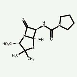 CC1(C)S[C@@H]2[C@H](NC(=O)N3CCCC3)C(=O)N2[C@H]1C(=O)O